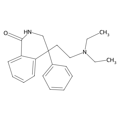 CCN(CC)CCC1(c2ccccc2)CNC(=O)c2ccccc21